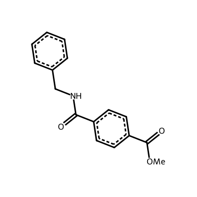 COC(=O)c1ccc(C(=O)NCc2ccccc2)cc1